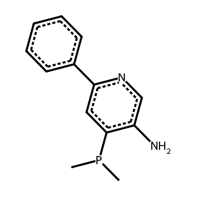 CP(C)c1cc(-c2ccccc2)ncc1N